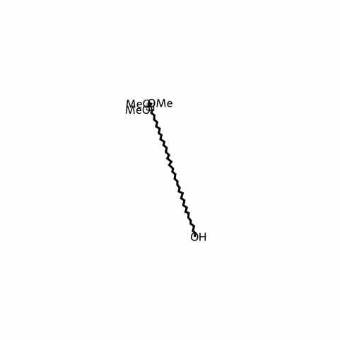 CO[Si](CCCCCCCCCCCCCCCCCCCCCCCCCCCCCCCCCCCCCCCO)(OC)OC